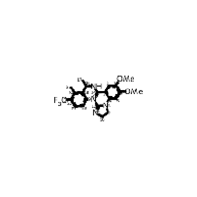 COc1cc2c(cc1OC)N1CCN=C1N=C2NC(C)c1cccc(C(F)(F)F)c1C